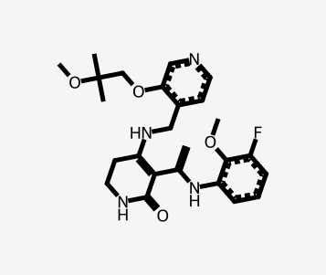 C=C(Nc1cccc(F)c1OC)C1=C(NCc2ccncc2OCC(C)(C)OC)CCNC1=O